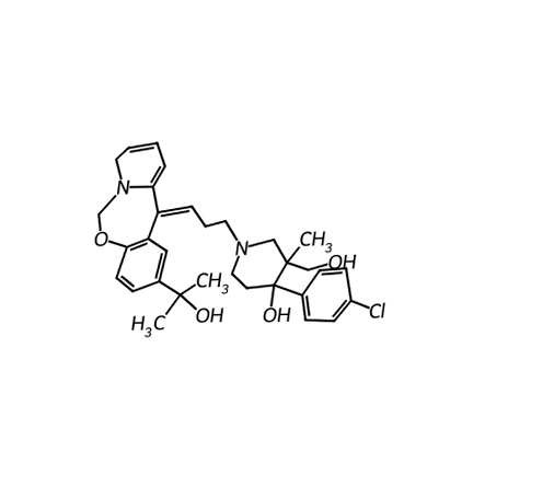 CC(C)(O)c1ccc2c(c1)C(=CCCN1CCC(O)(c3ccc(Cl)cc3)C(C)(CO)C1)C1=CC=CCN1CO2